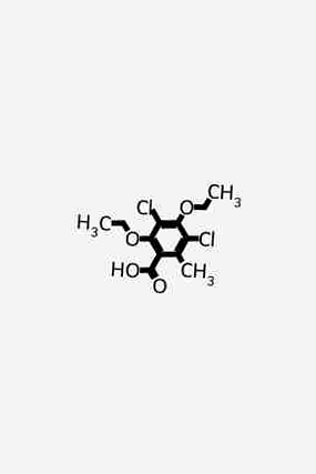 CCOc1c(Cl)c(C)c(C(=O)O)c(OCC)c1Cl